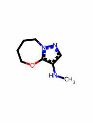 CNc1cnn2c1OCCCC2